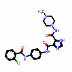 CN1CCN(NC(=O)c2[nH]cnc2C(=O)Nc2ccc(NC(=O)c3ccccc3Cl)cc2)CC1